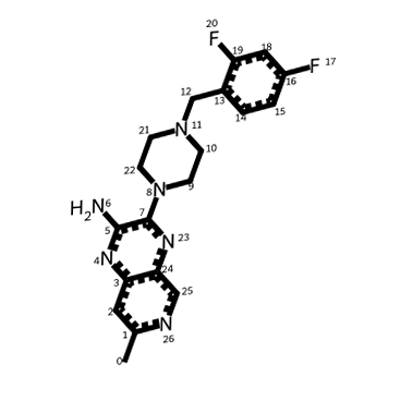 Cc1cc2nc(N)c(N3CCN(Cc4ccc(F)cc4F)CC3)nc2cn1